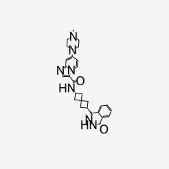 CN1CCN(c2ccn3c(C(=O)N[C@H]4CC5(C4)C[C@H](c4n[nH]c(=O)c6ccccc64)C5)cnc3c2)CC1